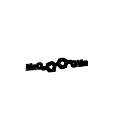 COC=C1CCC(C2CCC(=COC)CC2)CC1